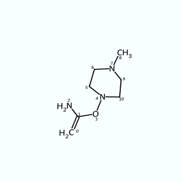 C=C(N)ON1CCN(C)CC1